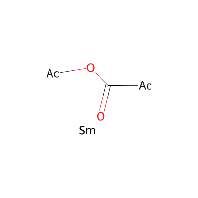 CC(=O)OC(=O)C(C)=O.[Sm]